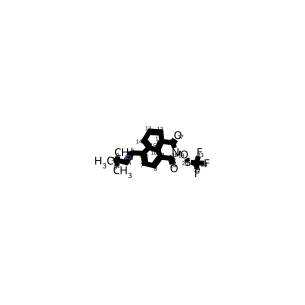 CC(C)(C)/C=C/c1ccc2c3c(cccc13)C(=O)N(OSC(F)(F)F)C2=O